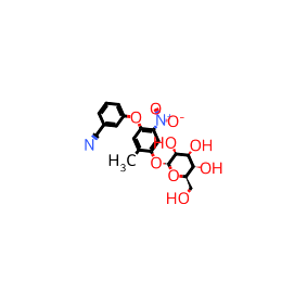 Cc1cc(Oc2cccc(C#N)c2)c([N+](=O)[O-])cc1O[C@H]1O[C@H](CO)[C@@H](O)[C@H](O)[C@@H]1O